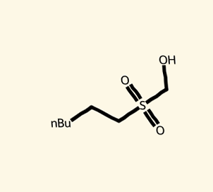 CCCCCCS(=O)(=O)CO